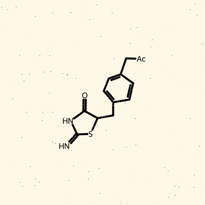 CC(=O)Cc1ccc(CC2SC(=N)NC2=O)cc1